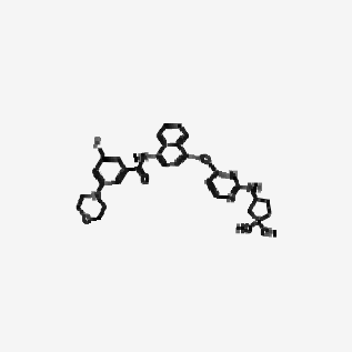 O=C(Nc1ccc(Oc2ccnc(NC3CCS(O)(O)C3)n2)c2ccccc12)c1cc(F)cc(N2CCOCC2)c1